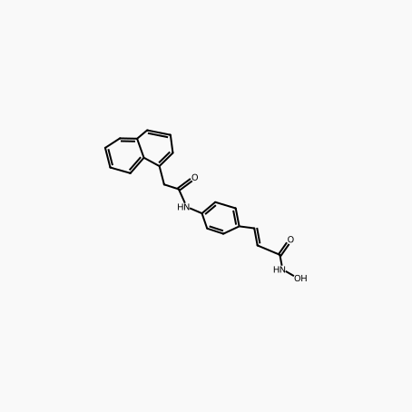 O=C(/C=C/c1ccc(NC(=O)Cc2cccc3ccccc23)cc1)NO